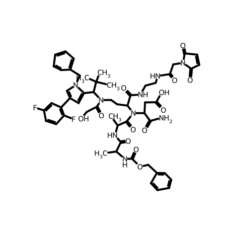 CC(NC(=O)OCc1ccccc1)C(=O)NC(C)C(=O)N(C(CC(=O)O)C(N)=O)C(CCN(C(=O)CO)C(c1cc(-c2cc(F)ccc2F)cn1Cc1ccccc1)C(C)(C)C)C(=O)NCCNC(=O)CN1C(=O)C=CC1=O